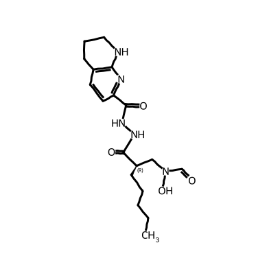 CCCCC[C@H](CN(O)C=O)C(=O)NNC(=O)c1ccc2c(n1)NCCC2